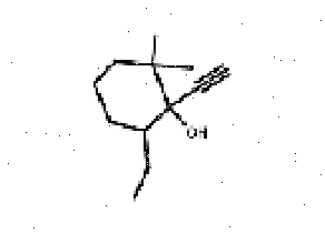 C#CC1(O)C(CC)CCCC1(C)C